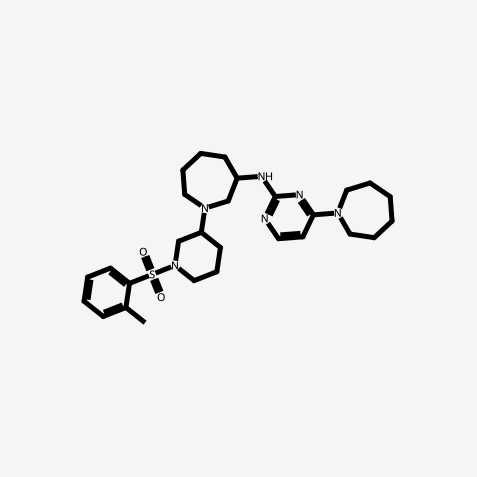 Cc1ccccc1S(=O)(=O)N1CCCC(N2CCCCC(Nc3nccc(N4CCCCCC4)n3)C2)C1